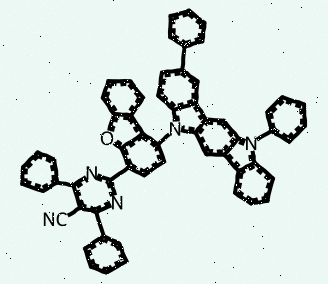 N#Cc1c(-c2ccccc2)nc(-c2ccc(-n3c4ccc(-c5ccccc5)cc4c4cc5c(cc43)c3ccccc3n5-c3ccccc3)c3c2oc2ccccc23)nc1-c1ccccc1